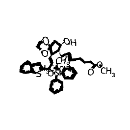 COC(=O)CCCC=CC[C@@H]1[C@@H](C=C[C@@H](O[Si](c2ccccc2)(c2ccccc2)C(C)(C)C)c2cc3ccccc3s2)C2(C[C@@H]1O)OCCO2